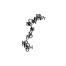 CCC1(C(=O)NC(C)C)CCN(c2ccc(-c3cc(-c4cnn(C5CCN(C(=O)CN6CCC(c7ccc8c(N9CCC(=O)NC9=O)nn(C)c8c7)CC6)CC5)c4)cn4ncc(C#N)c34)cn2)CC1